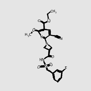 CCOC(=O)c1cc(C#N)c(N2CC(C(=O)NS(=O)(=O)Cc3cccc(F)c3)C2)nc1OC